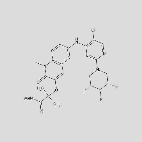 BC(B)(Oc1cc2cc(Nc3nc(N4C[C@@H](C)C(F)[C@@H](C)C4)ncc3Cl)ccc2n(C)c1=O)C(=O)NC